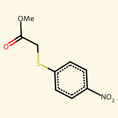 COC(=O)CSc1ccc([N+](=O)[O-])cc1